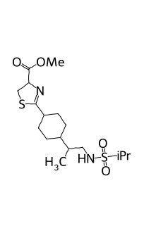 COC(=O)C1CSC(C2CCC(C(C)CNS(=O)(=O)C(C)C)CC2)=N1